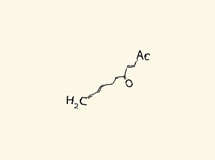 C=CC=CCCC(=O)C=CC(C)=O